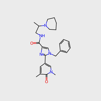 Cc1cc(-c2nc(C(=O)NCC(C)N3CCCCC3)cn2Cc2ccccc2)cn(C)c1=O